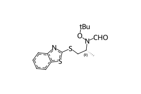 C[C@H](CSc1nc2ccccc2s1)N(C=O)OC(C)(C)C